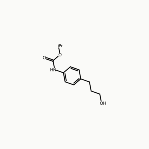 CC(C)OC(=O)Nc1ccc(CCCO)cc1